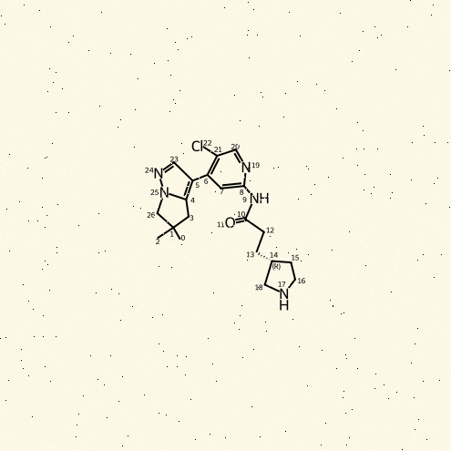 CC1(C)Cc2c(-c3cc(NC(=O)CC[C@@H]4CCNC4)ncc3Cl)cnn2C1